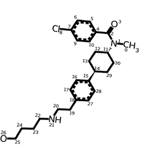 CN(C(=O)c1ccc(Cl)cc1)[C@H]1CC[C@H](c2ccc(CCNCCCCO)cc2)CC1